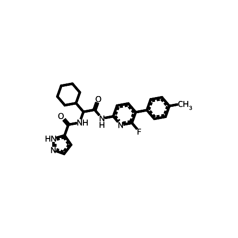 Cc1ccc(-c2ccc(NC(=O)C(NC(=O)c3ccn[nH]3)C3CCCCC3)nc2F)cc1